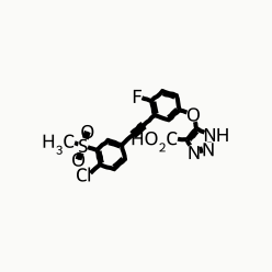 CS(=O)(=O)c1cc(C#Cc2cc(Oc3[nH]nnc3C(=O)O)ccc2F)ccc1Cl